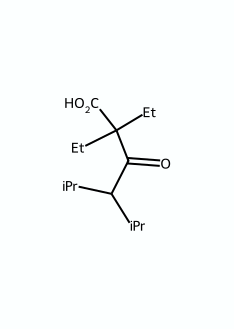 CCC(CC)(C(=O)O)C(=O)C(C(C)C)C(C)C